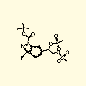 CC(C)(C)OC(=O)n1nc(I)c2ccc(C(COS(C)(=O)=O)OS(C)(=O)=O)cc21